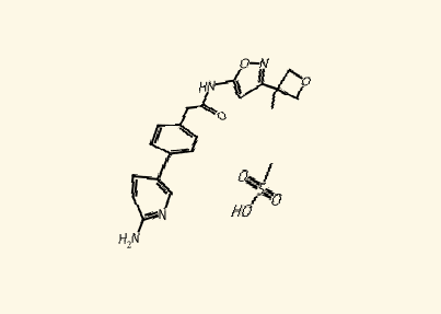 CC1(c2cc(NC(=O)Cc3ccc(-c4ccc(N)nc4)cc3)on2)COC1.CS(=O)(=O)O